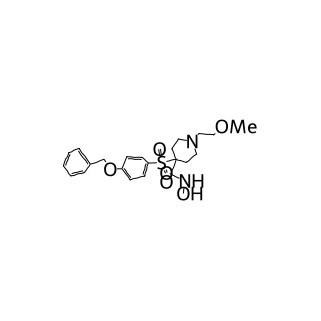 COCCN1CCC(C(=O)NO)(S(=O)(=O)c2ccc(OCc3ccccc3)cc2)CC1